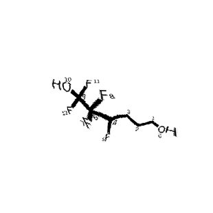 OCCCC(F)C(F)(F)C(O)(F)F